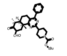 C[C@H]1C(=O)C(C=O)C[C@@]2(C)c3nc(C4CCN(C(=O)OC(C)(C)C)CC4)nc(-c4ccccc4)c3CC[C@H]12